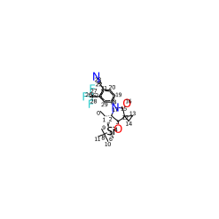 CC[C@H]1[C@H](O[Si](C)(C)C(C)(C)C)C2(CC2)C(=O)N1c1ccc(C#N)c(C(F)(F)F)c1